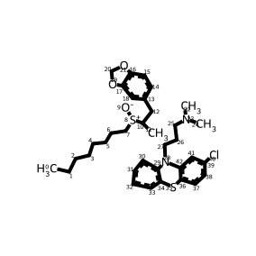 CCCCCCCC[S+]([O-])C(C)Cc1ccc2c(c1)OCO2.CN(C)CCCN1c2ccccc2Sc2ccc(Cl)cc21